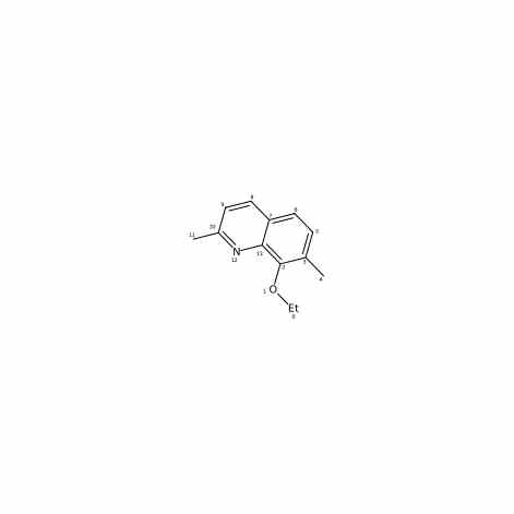 CCOc1c(C)ccc2ccc(C)nc12